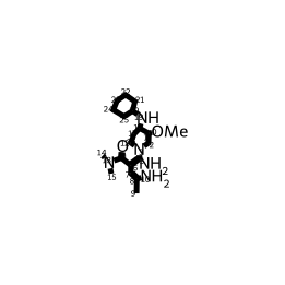 COC1CN(/C(N)=C(/C=C(/C)N)C(=O)N(C)C)CCC1NC1CCCCC1